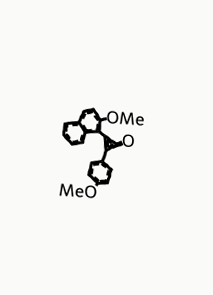 COc1ccc(-c2c(-c3c(OC)ccc4ccccc34)c2=O)cc1